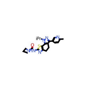 Cc1ccc(-c2nn(C(C)C)c3c2CCc2nc(NC(=O)N4CCC4)sc2-3)cn1